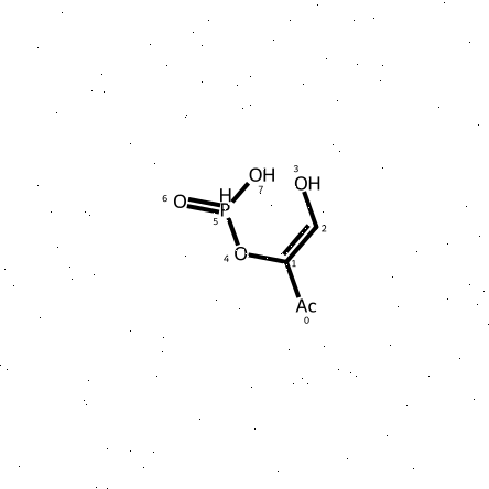 CC(=O)C(=CO)O[PH](=O)O